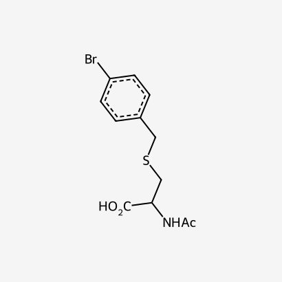 CC(=O)NC(CSCc1ccc(Br)cc1)C(=O)O